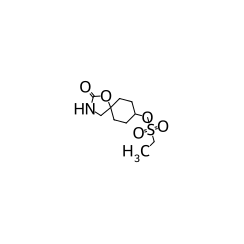 CCS(=O)(=O)OC1CCC2(CC1)CNC(=O)O2